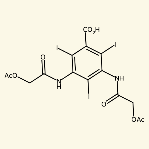 CC(=O)OCC(=O)Nc1c(I)c(NC(=O)COC(C)=O)c(I)c(C(=O)O)c1I